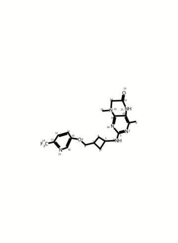 Cc1nc(NC2CC(COc3ccc(C(F)(F)F)nc3)C2)nc2c1NC(=O)CN2C